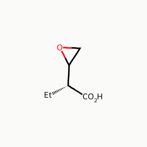 CC[C@@H](C(=O)O)C1CO1